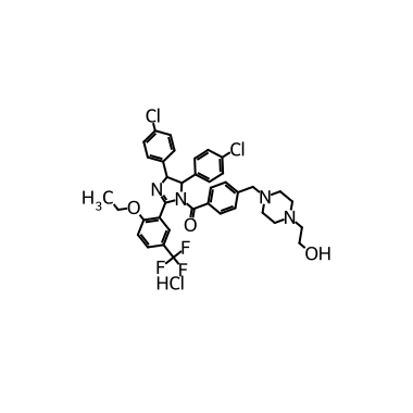 CCOc1ccc(C(F)(F)F)cc1C1=NC(c2ccc(Cl)cc2)C(c2ccc(Cl)cc2)N1C(=O)c1ccc(CN2CCN(CCO)CC2)cc1.Cl